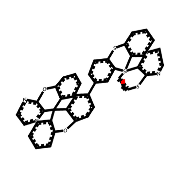 c1ccc2c(c1)Oc1ccc(-c3ccc4c(c3)[Si]3(c5ccccc5S4)c4ccccc4Sc4nccnc43)cc1C21c2ccccc2Oc2nccnc21